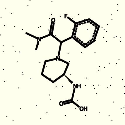 CN(C)C(=O)C(c1ccccc1F)N1CCC[C@@H](NC(=O)O)C1